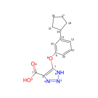 O=C(O)c1nn[nH]c1Oc1cccc(C2CCCC2)c1